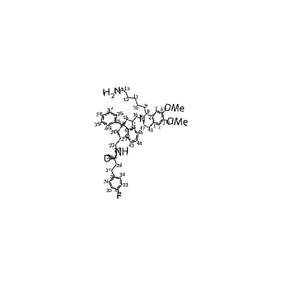 COc1cc2c(cc1OC)C(CCCCCN)N(CCCC(CCCNC(=O)CCc1ccc(F)cc1)(c1ccccc1)c1ccccc1)CC2